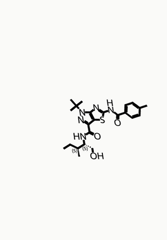 CC[C@H](C)[C@@H](CO)NC(=O)c1nn(C(C)(C)C)c2nc(NC(=O)c3ccc(C)cc3)sc12